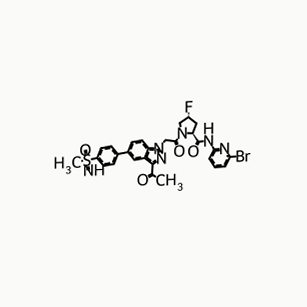 CC(=O)c1nn(CC(=O)N2C[C@H](F)C[C@H]2C(=O)Nc2cccc(Br)n2)c2ccc(-c3ccc(S(C)(=N)=O)cc3)cc12